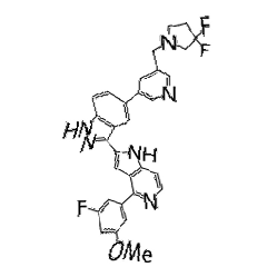 COc1cc(F)cc(-c2nccc3[nH]c(-c4n[nH]c5ccc(-c6cncc(CN7CCC(F)(F)C7)c6)cc45)cc23)c1